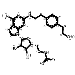 CCC(=O)NOC[C@H]1O[C@@H](n2cnc3c(N)nc(NCCc4ccc(CCC=O)cc4)nc32)C(O)C1O